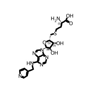 N[C@@H](CCSC[C@H]1O[C@@H](n2cnc3c(NCc4ccncc4)ncnc32)[C@H](O)[C@@H]1O)C(=O)O